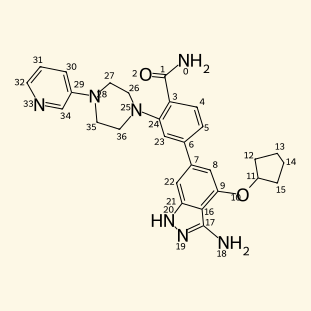 NC(=O)c1ccc(-c2cc(OC3CCCC3)c3c(N)n[nH]c3c2)cc1N1CCN(c2cccnc2)CC1